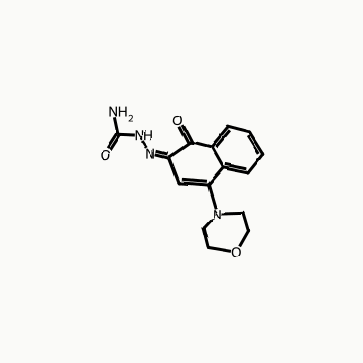 NC(=O)NN=C1C=C(N2CCOCC2)c2ccccc2C1=O